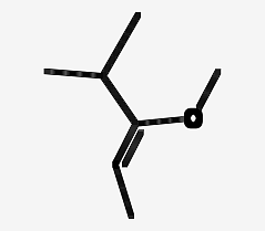 CC=C(OC)C(C)C